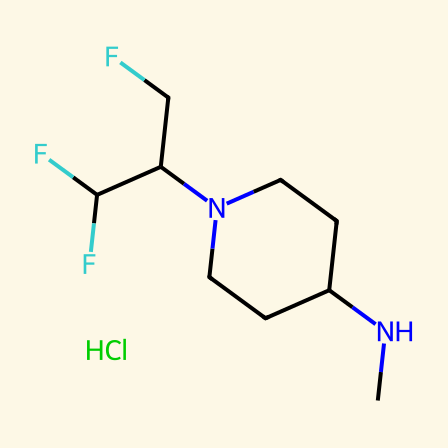 CNC1CCN(C(CF)C(F)F)CC1.Cl